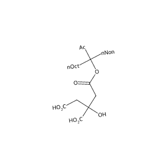 CCCCCCCCCC(CCCCCCCC)(OC(=O)CC(O)(CC(=O)O)C(=O)O)C(C)=O